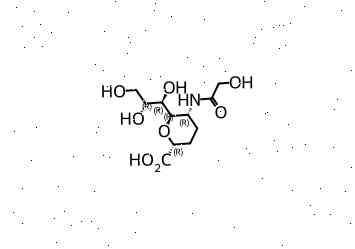 O=C(CO)N[C@@H]1CC[C@H](C(=O)O)O[C@H]1[C@H](O)[C@H](O)CO